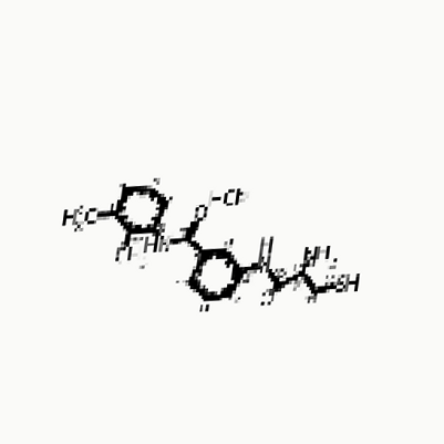 Cc1cccc(NC(=O)c2cccc(NC(=O)[C@@H](N)CS)c2)c1C.Cl